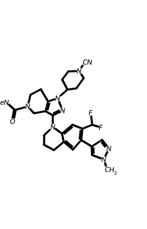 CNC(=O)N1CCc2c(c(N3CCCc4cc(-c5cnn(C)c5)c(C(F)F)cc43)nn2C2CCN(C#N)CC2)C1